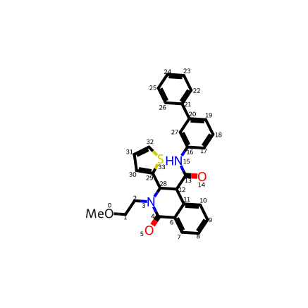 COCCN1C(=O)c2ccccc2C(C(=O)Nc2cccc(-c3ccccc3)c2)C1c1cccs1